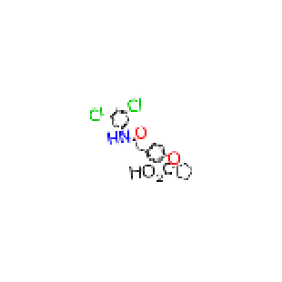 O=C(Cc1ccc(OC2(C(=O)O)CCCC2)cc1)Nc1cc(Cl)cc(Cl)c1